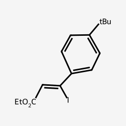 CCOC(=O)C=C(I)c1ccc(C(C)(C)C)cc1